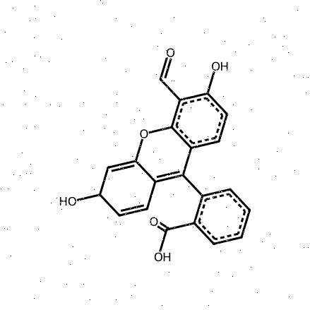 O=Cc1c(O)ccc2c1OC1=CC(O)C=CC1=C2c1ccccc1C(=O)O